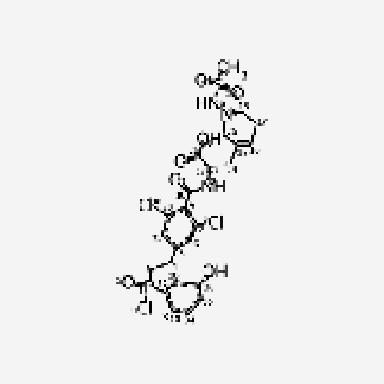 CP(=O)(CCc1cc(Cl)c(C(=O)N[C@@H](CC2=CCCN(NS(C)(=O)=O)C2)C(=O)O)c(Cl)c1)c1cccc(O)c1